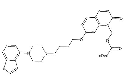 CCCCCCCCCCC(=O)OCn1c(=O)ccc2ccc(OCCCCN3CCN(c4cccc5sccc45)CC3)cc21